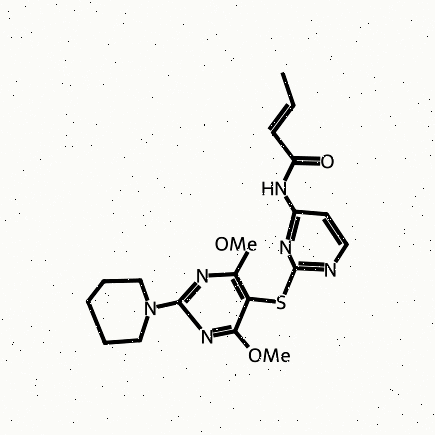 C/C=C/C(=O)Nc1ccnc(Sc2c(OC)nc(N3CCCCC3)nc2OC)n1